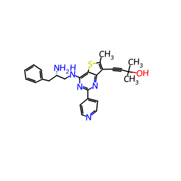 Cc1sc2c(NC[C@@H](N)Cc3ccccc3)nc(-c3ccncc3)nc2c1C#CC(C)(C)O